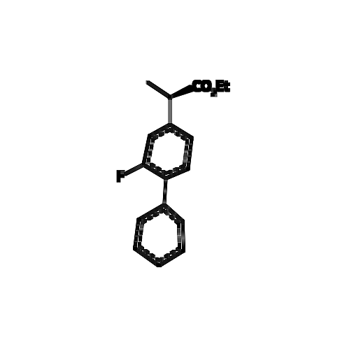 CCOC(=O)[C@H](C)c1ccc(-c2ccccc2)c(F)c1